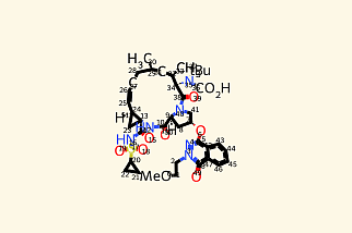 COCCn1nc(O[C@@H]2C[C@H]3C(=O)N[C@]4(C(=O)NS(=O)(=O)C5CC5)C[C@H]4C=CCC[C@@H](C)C[C@@H](C)[C@H](N(C(=O)O)C(C)(C)C)C(=O)N3C2)c2ccccc2c1=O